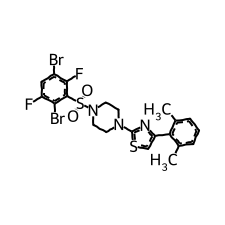 Cc1cccc(C)c1-c1csc(N2CCN(S(=O)(=O)c3c(F)c(Br)cc(F)c3Br)CC2)n1